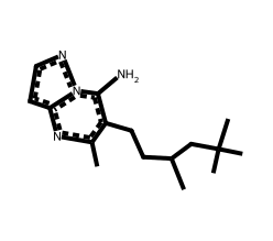 Cc1nc2ccnn2c(N)c1CCC(C)CC(C)(C)C